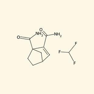 FC(F)F.NC(=O)C1=CC2CCC1(C(N)=O)C2